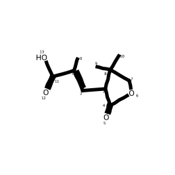 CC(=CC1C(=O)OCC1(C)C)C(=O)O